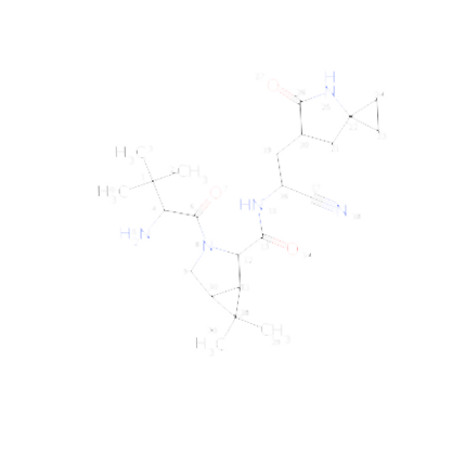 CC(C)(C)C(N)C(=O)N1CC2C(C1C(=O)NC(C#N)CC1CC3(CC3)NC1=O)C2(C)C